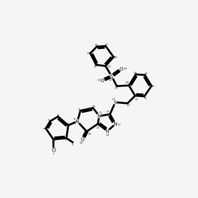 Cc1c(Cl)cccc1-n1ccn2c(SCc3ccccc3CS(=O)(=O)c3ccccc3)nnc2c1=O